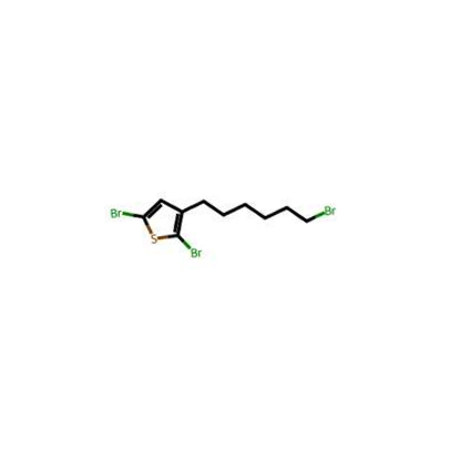 BrCCCCCCc1cc(Br)sc1Br